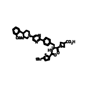 COc1ccccc1C1CCN(c2cnc(-c3ccc(C[C@H](NC(=O)c4ccc(C(C)(C)C)s4)C(=O)N4CC(C(=O)O)C4)cc3)nc2)CC1